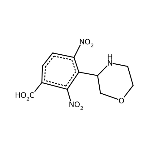 O=C(O)c1ccc([N+](=O)[O-])c(C2COCCN2)c1[N+](=O)[O-]